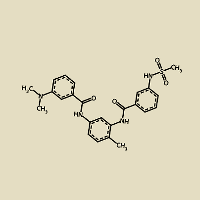 Cc1ccc(NC(=O)c2cccc(N(C)C)c2)cc1NC(=O)c1cccc(NS(C)(=O)=O)c1